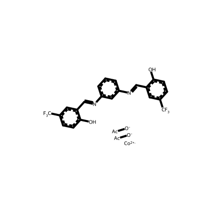 CC(=O)[O-].CC(=O)[O-].Oc1ccc(C(F)(F)F)cc1C=Nc1cccc(N=Cc2cc(C(F)(F)F)ccc2O)c1.[Co+2]